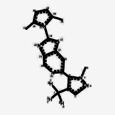 [2H]C([2H])([2H])c1cnn(C)c1-c1cc2sc(-n3c(C)ccc3C)nc2cn1